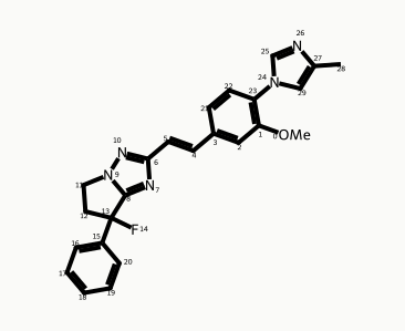 COc1cc(C=Cc2nc3n(n2)CCC3(F)c2ccccc2)ccc1-n1cnc(C)c1